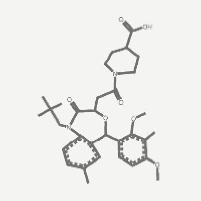 COc1ccc(C2OC(CC(=O)N3CCC(C(=O)O)CC3)C(=O)N(CC(C)(C)C)c3ccc(C)cc32)c(OC)c1C